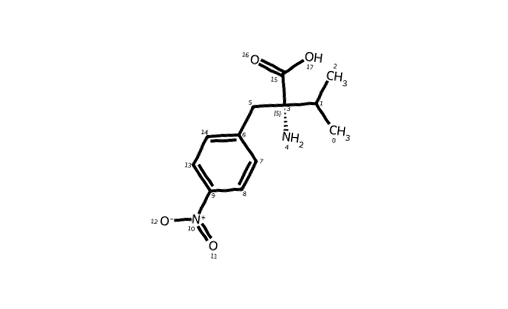 CC(C)[C@@](N)(Cc1ccc([N+](=O)[O-])cc1)C(=O)O